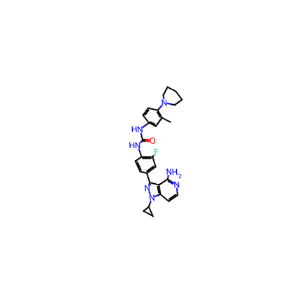 Cc1cc(NC(=O)Nc2ccc(-c3nn(C4CC4)c4ccnc(N)c34)cc2F)ccc1N1CCCCC1